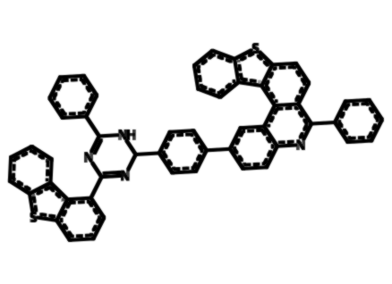 c1ccc(C2=NC(c3cccc4sc5ccccc5c34)=NC(c3ccc(-c4ccc5nc(-c6ccccc6)c6ccc7sc8ccccc8c7c6c5c4)cc3)N2)cc1